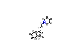 CC1(C)C=C(CCCN2CCCCC2)c2ccccc21